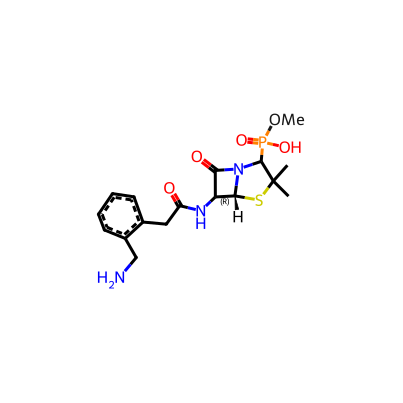 COP(=O)(O)C1N2C(=O)C(NC(=O)Cc3ccccc3CN)[C@H]2SC1(C)C